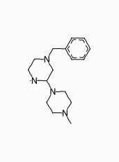 CN1CCN(C2CN(Cc3ccccc3)CC[N]2)CC1